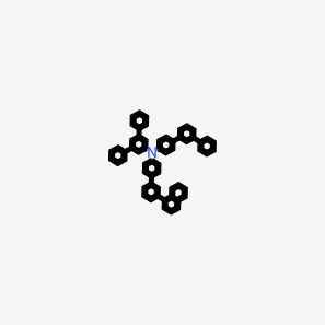 c1ccc(-c2cccc(-c3ccc(N(c4ccc(-c5cccc(-c6cccc7ccccc67)c5)cc4)c4cc(-c5ccccc5)cc(-c5ccccc5)c4)cc3)c2)cc1